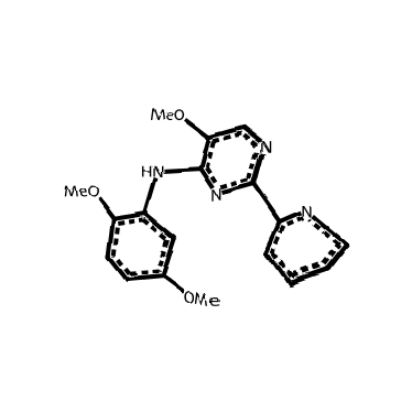 COc1ccc(OC)c(Nc2nc(-c3ccccn3)ncc2OC)c1